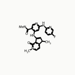 CNC(=O)c1cnc(Nc2ccc(F)cn2)cc1NC1=CC(C)c2ccn(C)c(=O)c21